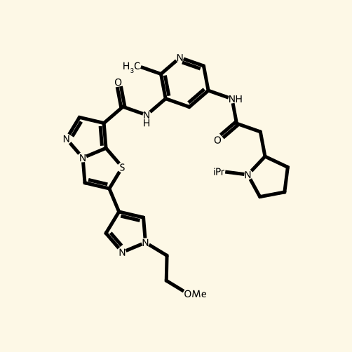 COCCn1cc(-c2cn3ncc(C(=O)Nc4cc(NC(=O)CC5CCCN5C(C)C)cnc4C)c3s2)cn1